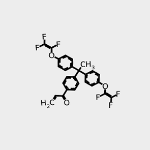 C=CC(=O)c1ccc(C(C)(c2ccc(OC(F)=C(F)F)cc2)c2ccc(OC(F)=C(F)F)cc2)cc1